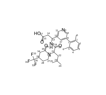 Cc1cccc(C)c1-c1cncc(C(CC(=O)O)NC(=O)C(CC(C)C)N2CCC(C(F)(F)F)CC2=O)c1